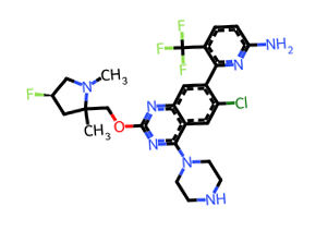 CN1C[C@H](F)CC1(C)COc1nc(N2CCNCC2)c2cc(Cl)c(-c3nc(N)ccc3C(F)(F)F)cc2n1